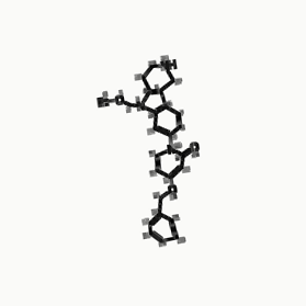 CCOCn1c2c(c3ccc(-n4ccc(OCc5ccccc5)cc4=O)cc31)CNCC2